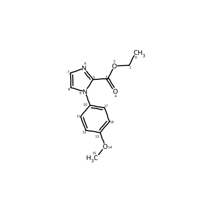 CCOC(=O)c1nccn1-c1ccc(OC)cc1